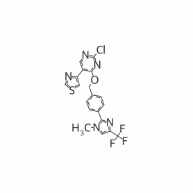 Cn1cc(C(F)(F)F)nc1-c1ccc(COc2nc(Cl)ncc2-c2cscn2)cc1